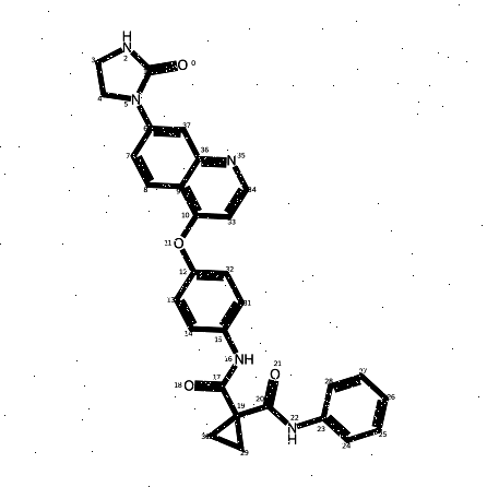 O=C1NCCN1c1ccc2c(Oc3ccc(NC(=O)C4(C(=O)Nc5ccccc5)CC4)cc3)ccnc2c1